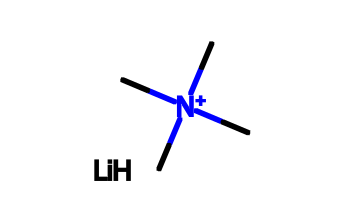 C[N+](C)(C)C.[LiH]